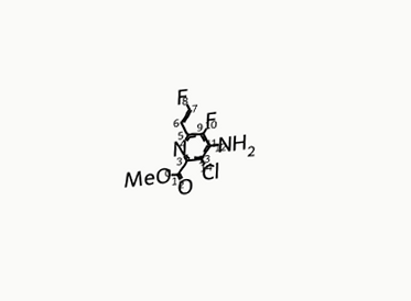 COC(=O)c1nc(C=CF)c(F)c(N)c1Cl